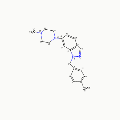 COc1ccc(Cn2ncc3ccc(N4CCN(C)CC4)cc32)cc1